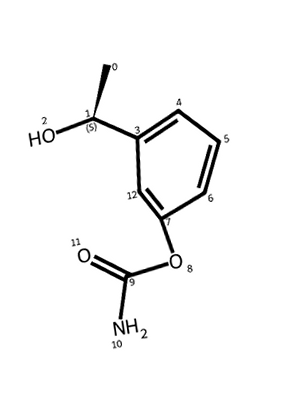 C[C@H](O)c1cccc(OC(N)=O)c1